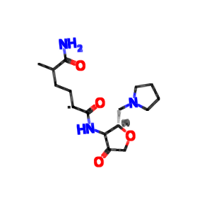 CC(CC[CH]C(=O)NC1C(=O)CO[C@H]1CN1CCCC1)C(N)=O